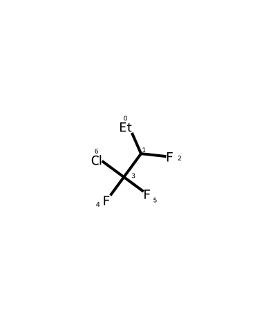 [CH2]CC(F)C(F)(F)Cl